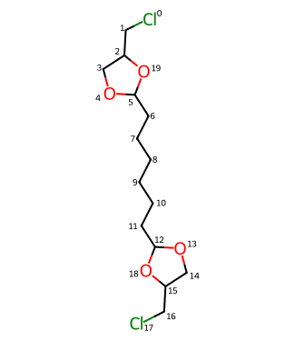 ClCC1COC(CCCCCCC2OCC(CCl)O2)O1